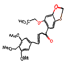 COc1cc(C=CC(=O)c2cc3c(cc2OCC(=O)O)OCS3)cc(OC)c1OC